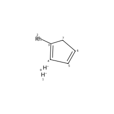 [H-].[H-].[Rh][C]1=CC=CC1